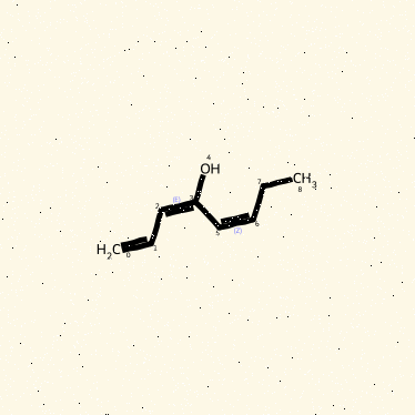 C=C/C=C(O)\C=C/CC